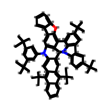 CC(C)(C)c1cc(N2c3cc4c(C(C)(C)C)c5ccccc5c(C(C)(C)C)c4cc3B3c4c2cc2c(oc5ccccc52)c4-c2cc(C(C)(C)C)cc4c5cc(C(C)(C)C)ccc5n3c24)cc(C(C)(C)C)c1